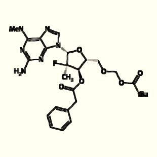 CNc1nc(N)nc2c1ncn2[C@@H]1O[C@H](COCOC(=O)C(C)(C)C)[C@@H](OC(=O)Cc2ccccc2)[C@@]1(C)F